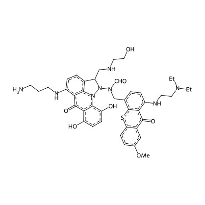 CCN(CC)CCNc1ccc(CN(C=O)N2C(CNCCO)c3ccc(NCCCN)c4c(=O)c5c(O)ccc(O)c5n2c34)c2sc3ccc(OC)cc3c(=O)c12